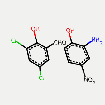 Nc1cc([N+](=O)[O-])ccc1O.O=Cc1cc(Cl)cc(Cl)c1O